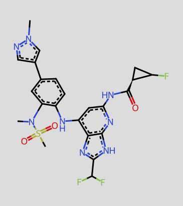 CN(c1cc(-c2cnn(C)c2)ccc1Nc1cc(NC(=O)[C@H]2CC2F)nc2[nH]c(C(F)F)nc12)S(C)(=O)=O